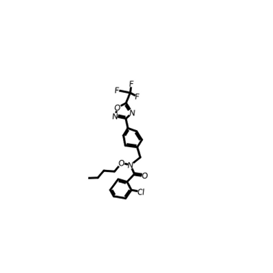 CCCCON(Cc1ccc(-c2noc(C(F)(F)F)n2)cc1)C(=O)c1ccccc1Cl